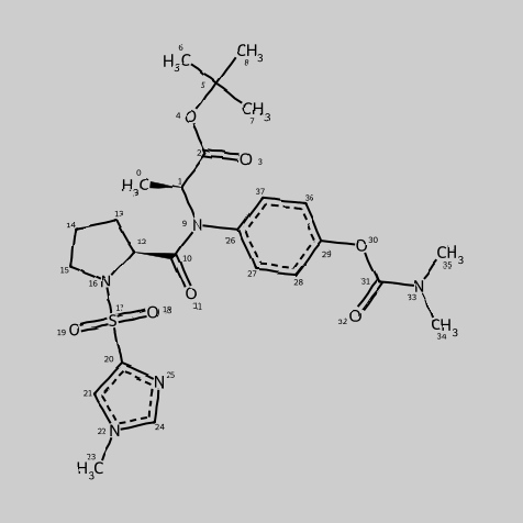 C[C@@H](C(=O)OC(C)(C)C)N(C(=O)[C@@H]1CCCN1S(=O)(=O)c1cn(C)cn1)c1ccc(OC(=O)N(C)C)cc1